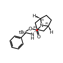 CC(C)(C)OC(=O)N1[C@@H]2CC[C@H]1C[C@@H](NCc1ccccc1)C2